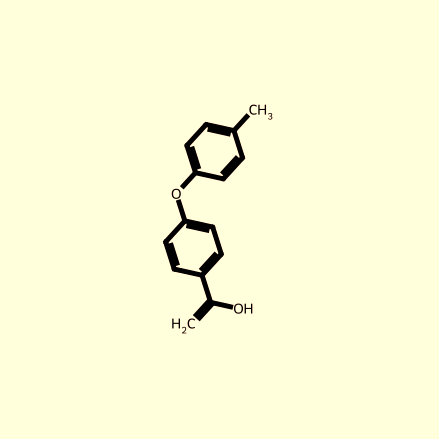 C=C(O)c1ccc(Oc2ccc(C)cc2)cc1